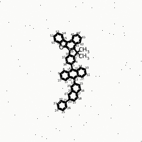 CC1(C)c2cc(-c3c4ccccc4c(-c4ccc5ccc(-c6ccccc6)cc5c4)c4ccccc34)ccc2-c2c1c1ccccc1c1c2oc2ccccc21